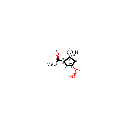 COC(=O)[C@@H]1C[C@H](OO)C[C@H]1C(=O)O